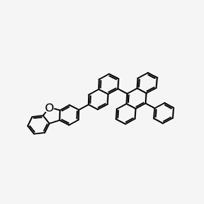 c1ccc(-c2c3ccccc3c(-c3cccc4cc(-c5ccc6c(c5)oc5ccccc56)ccc34)c3ccccc23)cc1